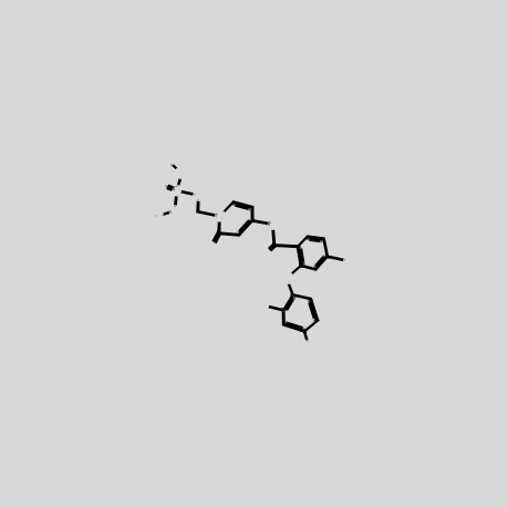 Cc1cc(F)ccc1Oc1cc(C(F)(F)F)ccc1C(=O)Nc1ccn(COP(=O)(OC(C)(C)C)OC(C)(C)C)c(=O)c1